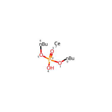 CCCCOP(=O)(O)OCCCC.[Ce]